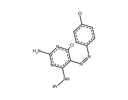 CC(C)Nc1nc(N)nc(Cl)c1/N=N\c1ccc(Cl)cc1